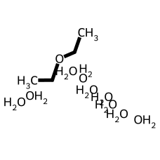 CCOCC.O.O.O.O.O.O.O.O.O